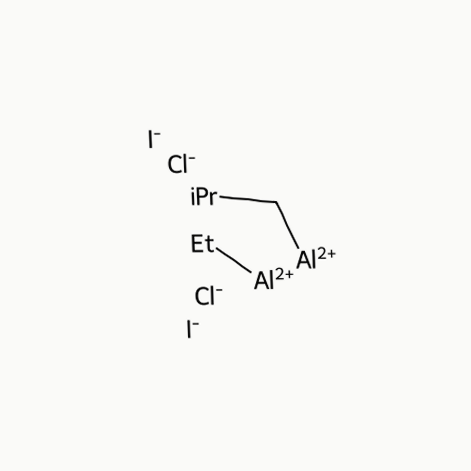 CC(C)[CH2][Al+2].C[CH2][Al+2].[Cl-].[Cl-].[I-].[I-]